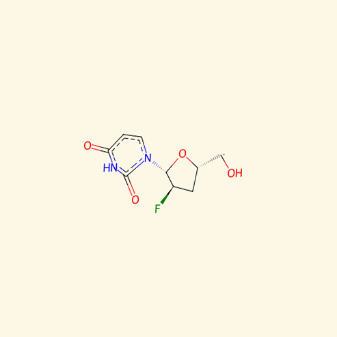 O=c1ccn([C@@H]2O[C@H]([CH]O)C[C@H]2F)c(=O)[nH]1